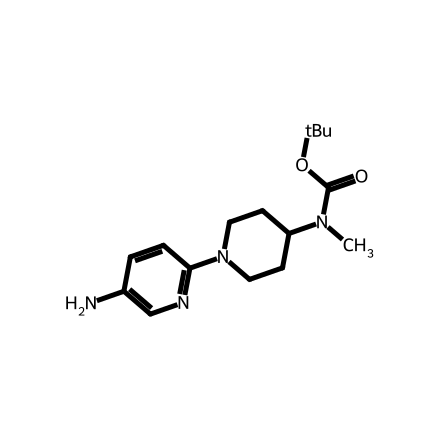 CN(C(=O)OC(C)(C)C)C1CCN(c2ccc(N)cn2)CC1